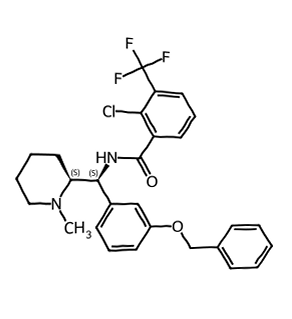 CN1CCCC[C@H]1[C@@H](NC(=O)c1cccc(C(F)(F)F)c1Cl)c1cccc(OCc2ccccc2)c1